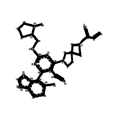 C=CC(=O)N1CC2(CCN(c3nc(OCC4CCCN4C)nc(-c4c(C)ccc5[nH]cnc45)c3C#N)C2)C1